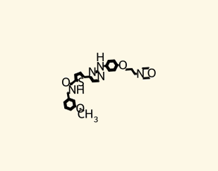 COc1cccc(CNC(=O)c2ccc(-c3ccnc(Nc4ccc(OCCCN5CCOCC5)cc4)n3)s2)c1